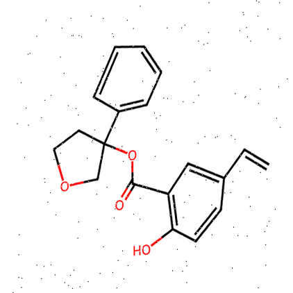 C=Cc1ccc(O)c(C(=O)OC2(c3ccccc3)CCOC2)c1